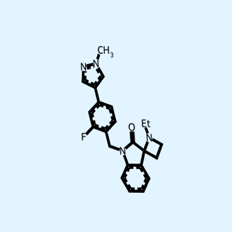 CCN1CCC12C(=O)N(Cc1ccc(-c3cnn(C)c3)cc1F)c1ccccc12